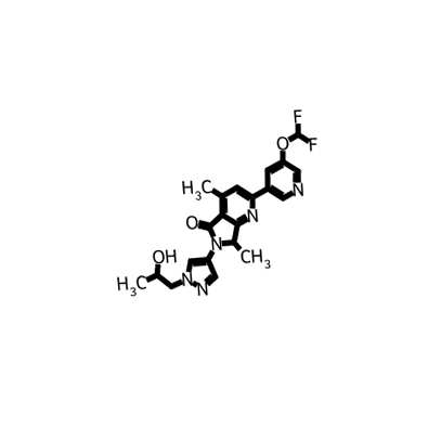 Cc1cc(-c2cncc(OC(F)F)c2)nc2c1C(=O)N(c1cnn(CC(C)O)c1)C2C